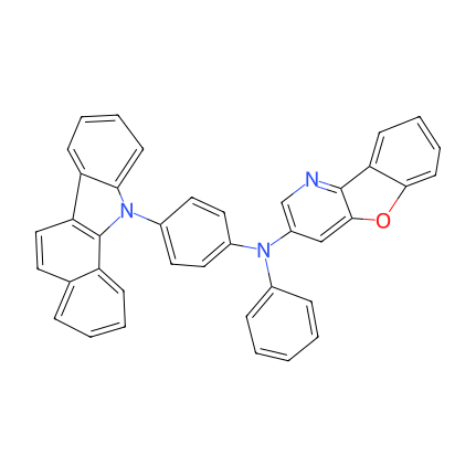 c1ccc(N(c2ccc(-n3c4ccccc4c4ccc5ccccc5c43)cc2)c2cnc3c(c2)oc2ccccc23)cc1